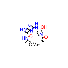 C=CC(=O)N1CC[C@@H](Nc2cnc3[nH]cc(C(=O)N[C@H](C)COC)c3n2)[C@@H](O)C1